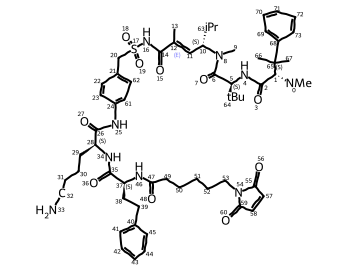 CN[C@H](C(=O)N[C@H](C(=O)N(C)[C@H](/C=C(\C)C(=O)NS(=O)(=O)Cc1ccc(NC(=O)[C@H](CCCCN)NC(=O)[C@H](CCc2ccccc2)NC(=O)CCCCCN2C(=O)C=CC2=O)cc1)C(C)C)C(C)(C)C)C(C)(C)c1ccccc1